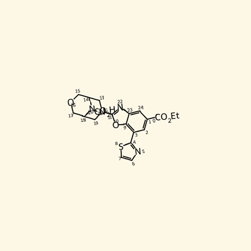 CCOC(=O)c1cc(-c2nccs2)c2oc(N3CC4COCC(C3)N4C(=O)O)nc2c1